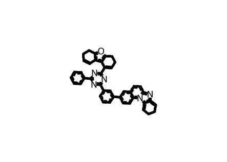 C1=Cc2c(oc3c2C(c2nc(-c4ccccc4)nc(-c4cccc(-c5ccc6c(ccc7nc8c(n76)=CCCC=8)c5)c4)n2)=CCC3)CC1